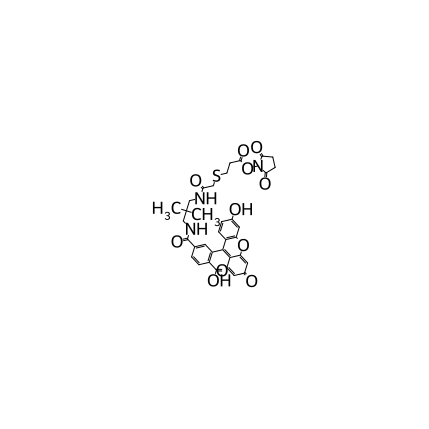 CC(C)(CNC(=O)CSCCC(=O)ON1C(=O)CCC1=O)CNC(=O)c1ccc(C(=O)O)c(-c2c3ccc(=O)cc-3oc3cc(O)ccc23)c1